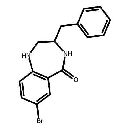 O=C1NC(Cc2ccccc2)CNc2ccc(Br)cc21